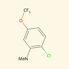 CNc1cc(OC(F)(F)F)ccc1Cl